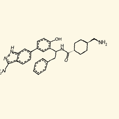 NC[C@H]1CC[C@H](C(=O)NC(Cc2ccccc2)c2cc(-c3ccc4c(N)n[nH]c4c3)ccc2O)CC1